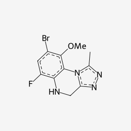 COc1c(Br)cc(F)c2c1-n1c(C)nnc1CN2